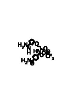 N=C(N)c1cccc(OCC[C@H](NC(=O)c2ccc(C(N)=O)cc2)C(=O)OC(=O)C(F)(F)F)c1